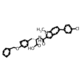 Cn1c(C(=O)N[C@@H](Cc2ccc(OCc3ccccc3)cc2)C(=O)O)cc2cc(-c3ccc(Cl)cc3)ccc21